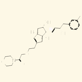 Cc1cccc(C[C@H](O)/C=C/[C@@H]2[C@H]3CC(CCOCC(=O)N4CCOCC4)=C[C@H]3C[C@H]2O)c1